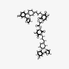 Cc1cn(OC(=O)C(=O)On2cc(C)c(=O)n(CCCN3CCN(c4ccc(F)cc4-c4ncco4)CC3)c2=O)c(=O)n(CCCN2CCN(c3ccc(F)cc3-c3ncco3)CC2)c1=O